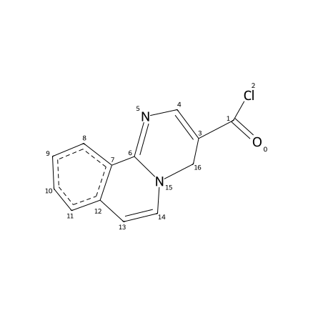 O=C(Cl)C1=CN=C2c3ccccc3C=CN2C1